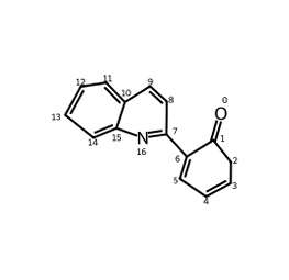 O=C1CC=CC=C1c1ccc2ccccc2n1